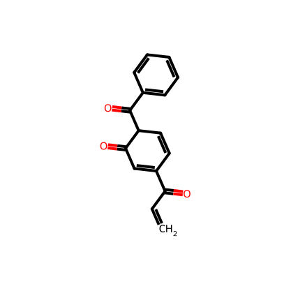 C=CC(=O)C1=CC(=O)C(C(=O)c2ccccc2)C=C1